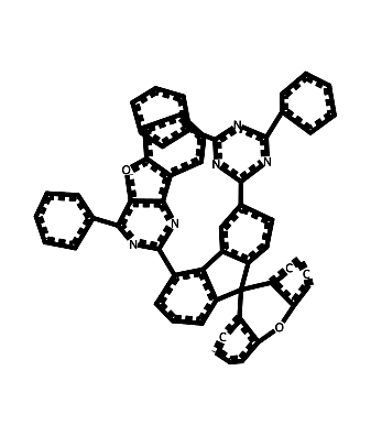 c1ccc(-c2nc(-c3ccccc3)nc(-c3ccc4c(c3)-c3c(-c5nc(-c6ccccc6)c6oc7ccccc7c6n5)cccc3C43c4ccccc4Oc4ccccc43)n2)cc1